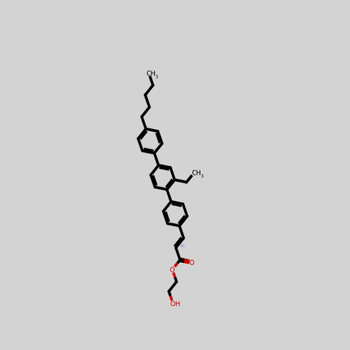 CCCCCc1ccc(-c2ccc(-c3ccc(/C=C/C(=O)OCCO)cc3)c(CC)c2)cc1